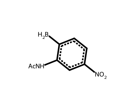 Bc1ccc([N+](=O)[O-])cc1NC(C)=O